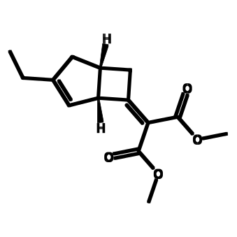 CCC1=C[C@H]2C(=C(C(=O)OC)C(=O)OC)C[C@H]2C1